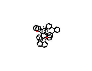 c1ccc(-c2nnc(-c3ccccc3)n2-c2cccc3c4ccccc4n(-c4ccc(-c5ccccc5-c5cccc(-n6c7ccccc7c7c8oc9ccccc9c8ccc76)c5)cc4)c23)cc1